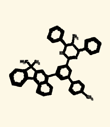 Cc1ccc(-c2cc(C3=NC(c4ccccc4)N(C)C(c4ccccc4)N3)cc(-c3cc4c(c5ccccc35)-c3ccccc3C4(C)C)c2)cc1